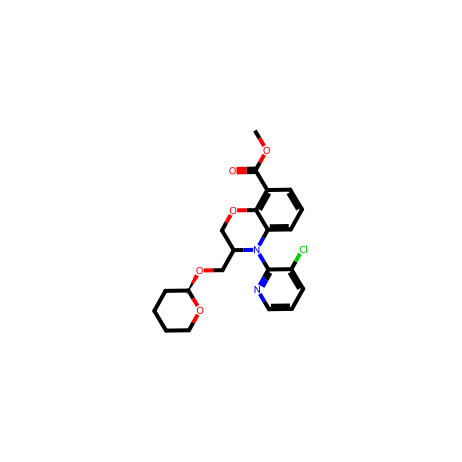 COC(=O)c1cccc2c1OCC(CO[C@@H]1CCCCO1)N2c1ncccc1Cl